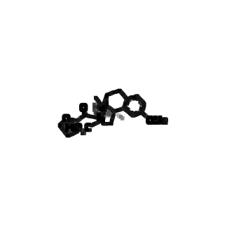 CCOC(=O)C1(C(=O)c2ccco2)C2C[C@]3(C)c4cc(OC)ccc4CC(C3[C@H]1C)N2C